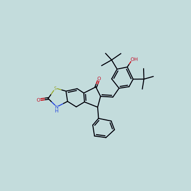 CC(C)(C)c1cc(C=C2C(=O)C3=C(CC4NC(=O)SC4=C3)C2c2ccccc2)cc(C(C)(C)C)c1O